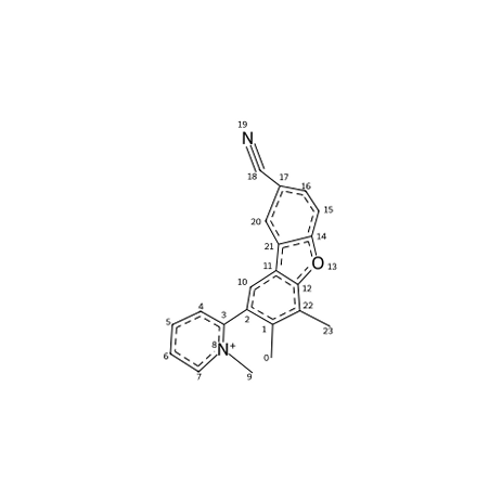 Cc1c(-c2cccc[n+]2C)cc2c(oc3ccc(C#N)cc32)c1C